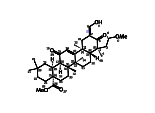 COCC[C@]1(C)C(=O)/C(=C\O)C[C@]2(C)C3=CC(=O)[C@@H]4[C@@H]5CC(C)(C)CC[C@]5(C(=O)OC)CC[C@@]4(C)[C@]3(C)CC[C@@H]12